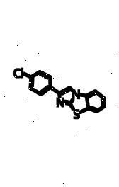 Clc1ccc(-c2cn3c(n2)sc2ccccc23)cc1